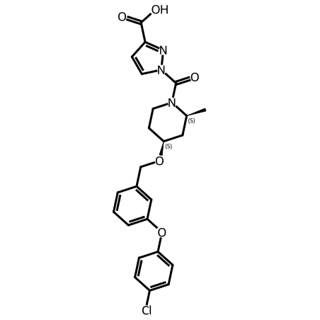 C[C@H]1C[C@@H](OCc2cccc(Oc3ccc(Cl)cc3)c2)CCN1C(=O)n1ccc(C(=O)O)n1